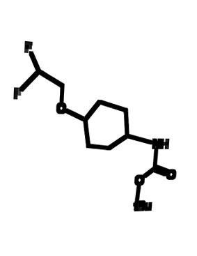 CC(C)(C)OC(=O)NC1CCC(OCC(F)F)CC1